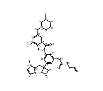 C=CCNC(=S)Nc1cc(C2(Cc3nncn3C)COC2)cc(N2Cc3c(cc(CN4CCCC(C)C4)cc3C(F)(F)F)C2=O)n1